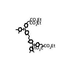 CCOC(=O)C(Cc1ccc(N(c2ccc(CCc3ccc(N(c4ccc(CC(C(=O)OCC)C(=O)OCC)cc4)c4ccc(C)c(C)c4)cc3)cc2)c2ccc(C)c(C)c2)cc1)C(=O)OCC